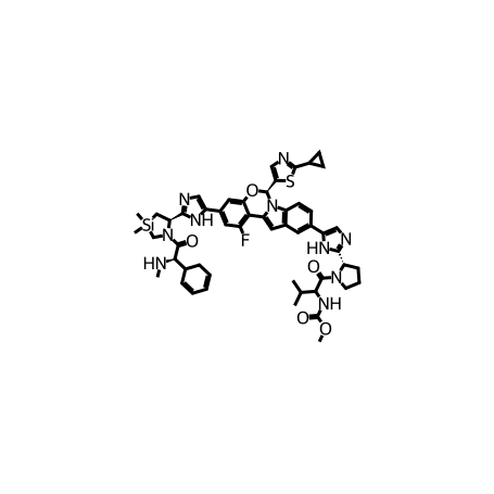 CN[C@@H](C(=O)N1C[Si](C)(C)C[C@H]1c1ncc(-c2cc(F)c3c(c2)O[C@@H](c2cnc(C4CC4)s2)n2c-3cc3cc(-c4cnc([C@@H]5CCCN5C(=O)C(NC(=O)OC)C(C)C)[nH]4)ccc32)[nH]1)C1C=CC=CC1